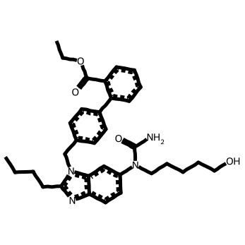 CCCCc1nc2ccc(N(CCCCCO)C(N)=O)cc2n1Cc1ccc(-c2ccccc2C(=O)OCC)cc1